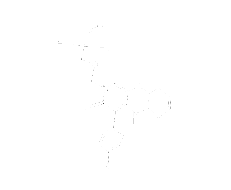 CC(C)(C=O)COCn1cc2c(c(-c3ccc(Cl)cc3)c1=O)Nc1ccccc1S2